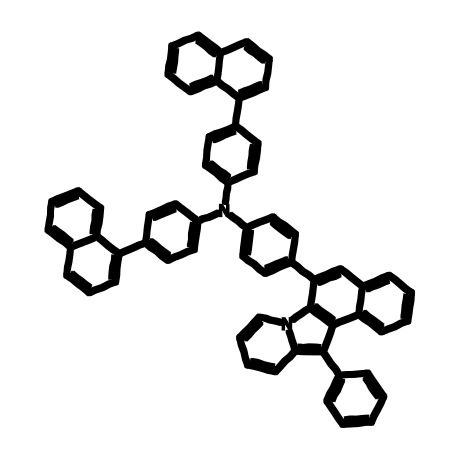 c1ccc(-c2c3c4ccccc4cc(-c4ccc(N(c5ccc(-c6cccc7ccccc67)cc5)c5ccc(-c6cccc7ccccc67)cc5)cc4)c3n3ccccc23)cc1